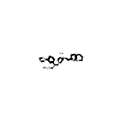 O=C(O)C[C@H](CN1CC[C@@H](CCc2ccc3c(n2)NCCC3)C1)c1cccc(-n2cncn2)c1.[Na]